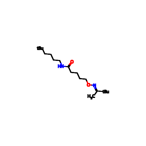 C/C(=N\OCCCCC(=O)NCCCCC(C)(C)C)C(C)(C)C